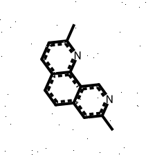 Cc1cc2ccc3ccc(C)nc3c2cn1